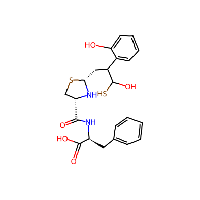 O=C(O)[C@H](Cc1ccccc1)NC(=O)[C@@H]1CS[C@H](CC(c2ccccc2O)C(O)S)N1